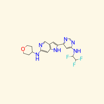 FC(F)C(F)Nc1cc(-c2cc3cnc(NC4CCOCC4)cc3[nH]2)ncn1